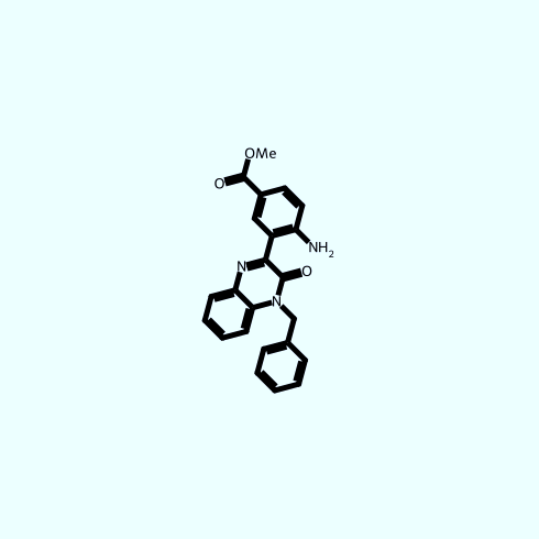 COC(=O)c1ccc(N)c(-c2nc3ccccc3n(Cc3ccccc3)c2=O)c1